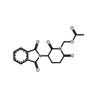 CC(=O)OCN1C(=O)CCC(N2C(=O)c3ccccc3C2=O)C1=O